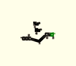 N#CCC(=O)[O-].[Cl-].[Na+].[Na+]